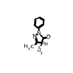 [2H]C1(C)C(=O)N(c2ccccc2)N=C1C